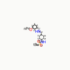 CCCOc1cccc(CNCC2CCC(NS(=O)(=O)C(C)(C)C)CC2)c1